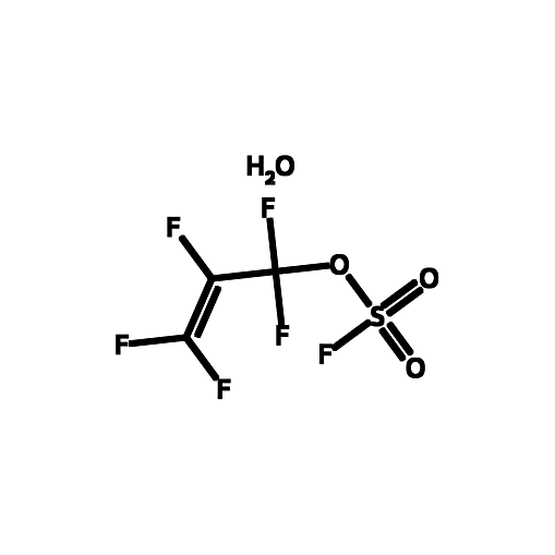 O.O=S(=O)(F)OC(F)(F)C(F)=C(F)F